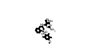 COc1cc(C)c(S(=O)(=O)N2CC(Nc3nc(N)nc4[nH]ncc34)Cc3ccccc32)c(C)c1C